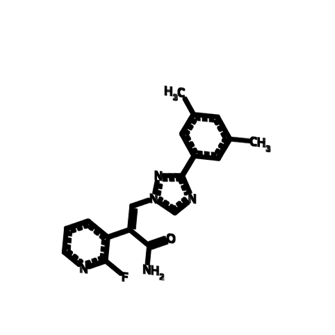 Cc1cc(C)cc(-c2ncn(/C=C(\C(N)=O)c3cccnc3F)n2)c1